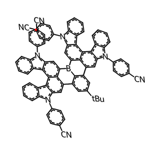 CC(C)(C)c1cc2c3c(c1)-c1cc4c(c5ccccc5n4-c4ccc(C#N)cc4)c4c1c(cc1c4c4ccccc4n1-c1ccc(C#N)cc1)B3c1cc3c(c4ccccc4n3-c3ccc(C#N)cc3)c3c1c-2cc1c3c2ccccc2n1-c1ccc(C#N)cc1